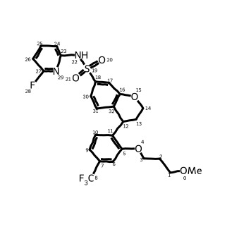 COCCCOc1cc(C(F)(F)F)ccc1C1CCOc2cc(S(=O)(=O)Nc3cccc(F)n3)ccc21